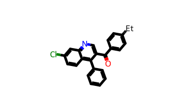 CCc1ccc(C(=O)c2cnc3cc(Cl)ccc3c2-c2ccccc2)cc1